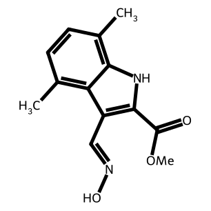 COC(=O)c1[nH]c2c(C)ccc(C)c2c1C=NO